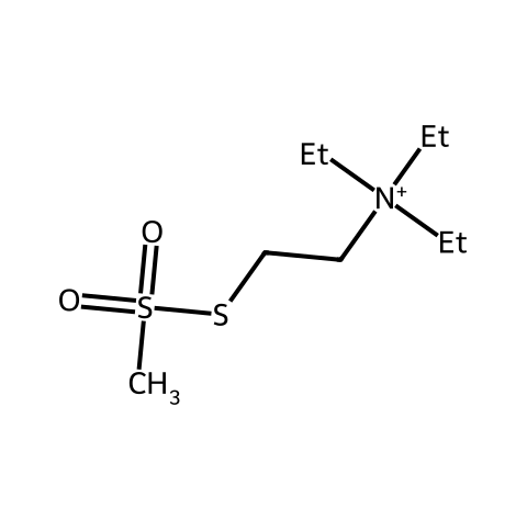 CC[N+](CC)(CC)CCSS(C)(=O)=O